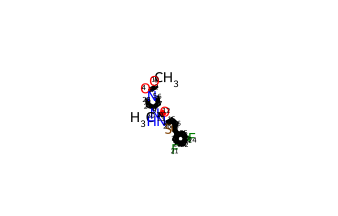 COCC(=O)N1CCC(N(C)C(=O)Nc2ccc(-c3cc(F)cc(F)c3)s2)CC1